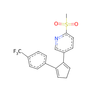 CS(=O)(=O)c1ccc(C2=CCC=C2c2ccc(C(F)(F)F)cc2)cn1